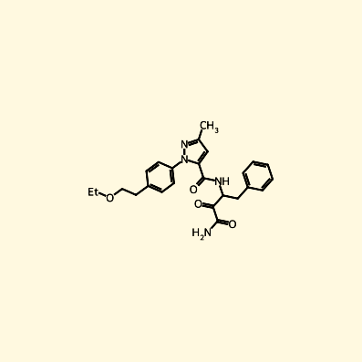 CCOCCc1ccc(-n2nc(C)cc2C(=O)NC(Cc2ccccc2)C(=O)C(N)=O)cc1